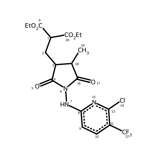 CCOC(=O)C(CC1C(=O)N(Nc2ccc(C(F)(F)F)c(Cl)n2)C(=O)C1C)C(=O)OCC